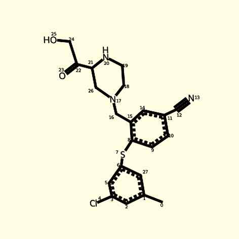 Cc1cc(Cl)cc(Sc2ccc(C#N)cc2CN2CCNC(C(=O)CO)C2)c1